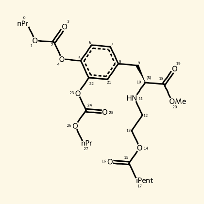 CCCOC(=O)Oc1ccc(C[C@H](NCCOC(=O)C(C)CCC)C(=O)OC)cc1OC(=O)OCCC